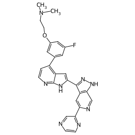 CN(C)CCOc1cc(F)cc(-c2ccnc3[nH]c(-c4n[nH]c5cnc(-c6cnccn6)cc45)cc23)c1